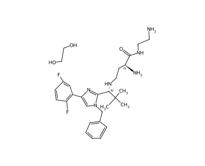 CC(C)(C)[C@@H](NCC[C@H](N)C(=O)NCCN)c1nc(-c2cc(F)ccc2F)cn1Cc1ccccc1.OCCO